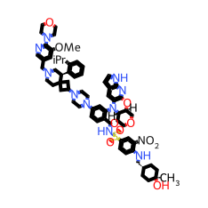 COc1cc(CN2CCC3(CC(N4CCN(c5ccc(C(=O)NS(=O)(=O)c6ccc(NC[C@H]7CC[C@](C)(O)CC7)c([N+](=O)[O-])c6)c(N6c7cc8cc[nH]c8nc7O[C@H]7COCC[C@@H]76)c5)CC4)C3)[C@H](c3ccccc3C(C)C)C2)cnc1N1CCOCC1